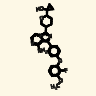 COc1cccc(Oc2ccc(-c3nc(C4CCC(C5(O)CC5)OC4)n4ccnc(N)c34)cc2)c1F